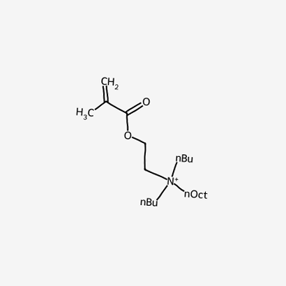 C=C(C)C(=O)OCC[N+](CCCC)(CCCC)CCCCCCCC